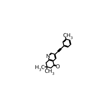 Cc1cccc(C#Cc2cnc3c(c2)C(=O)CC(C)(C)C3)c1